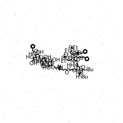 CCC(=O)O[C@H](CC)CC(=O)NC1[C@H](OCC2O[C@H](OCCNC(=O)CCc3cn(CCO[C@@H]4OC(CO)[C@@H](O[C@@H]5OC(CO)[C@H](O)[C@H](O[C@]6(C(=O)O)C[C@@H](O)[C@@H](NC(=O)Cc7ccccc7)C([C@H](O)[C@H](O)CO)O6)C5O)[C@H](O)C4O)nn3)C(NC(=O)C[C@H](C)CC)[C@@H](OC(=O)C[C@H](C)CC)[C@@H]2C)OC(COCc2ccccc2)[C@@H](OP(C)(=O)OCc2ccccc2)[C@@H]1OC(=O)C[C@@H](CC)OC(=O)CC